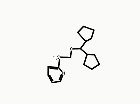 c1ccc([SiH2]COC(C2CCCC2)C2CCCC2)nc1